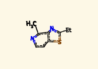 CCc1nc2c(C)nccc2s1